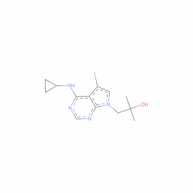 CC(C)(O)Cn1cc(I)c2c(NC3CC3)ncnc21